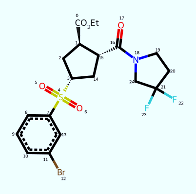 CCOC(=O)[C@@H]1C[C@@H](S(=O)(=O)c2cccc(Br)c2)C[C@H]1C(=O)N1CCC(F)(F)C1